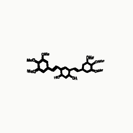 COC1CC(/C=C/C2CC(/C=C/C3CC(OC)C(OC)C(OC)C3)C(O)CC2O)CC(OC)C1OC